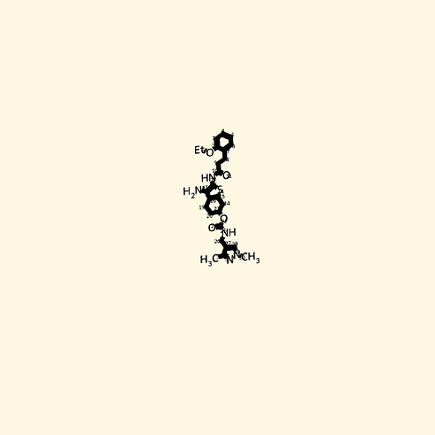 CCOc1ccccc1CCC(=O)Nc1sc2c(c1N)CCC(OC(=O)NCc1cn(C)nc1C)C2